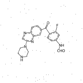 O=CNc1ccc(C(=O)c2ccc3ncc(N4CCNCC4)nc3c2)c(F)c1